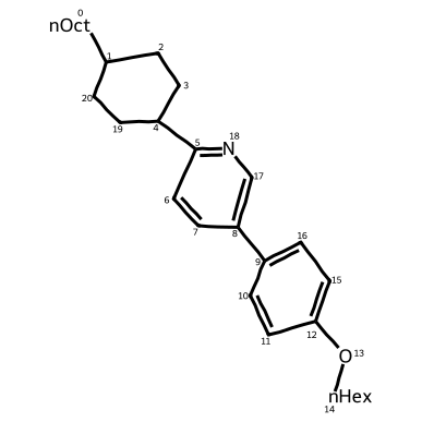 CCCCCCCCC1CCC(c2ccc(-c3ccc(OCCCCCC)cc3)cn2)CC1